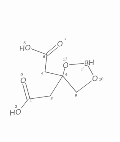 O=C(O)CC1(CC(=O)O)COBO1